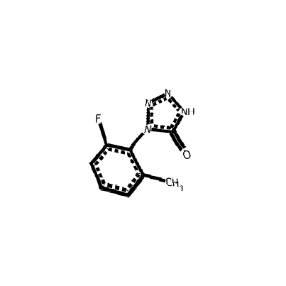 Cc1cccc(F)c1-n1nn[nH]c1=O